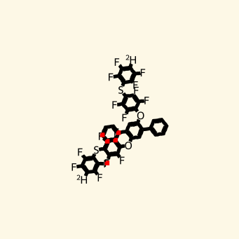 [2H]c1c(F)c(F)c(Sc2c(F)c(F)c(Oc3cc(-c4ccccc4)c(Oc4c(F)c(F)c(Sc5c(F)c(F)c([2H])c(F)c5F)c(F)c4F)cc3-c3ccccc3)c(F)c2F)c(F)c1F